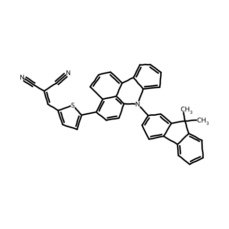 CC1(C)c2ccccc2-c2ccc(N3c4ccccc4-c4cccc5c(-c6ccc(C=C(C#N)C#N)s6)ccc3c45)cc21